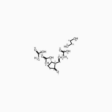 C=CN1CCCC1=O.CC(=O)O.CC(=O)O.CC(=O)O.OCCO